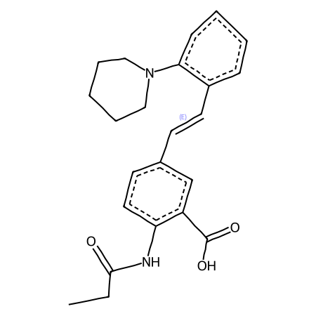 CCC(=O)Nc1ccc(/C=C/c2ccccc2N2CCCCC2)cc1C(=O)O